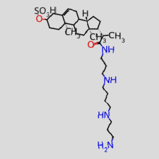 CC(C(=O)NCCCNCCCCNCCCN)[C@H]1CC[C@H]2C3CC=C4CC(OS(=O)(=O)O)CC[C@]4(C)C3CC[C@]12C